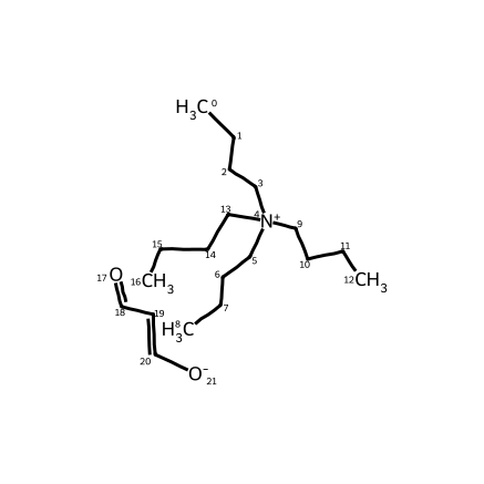 CCCC[N+](CCCC)(CCCC)CCCC.O=C/C=C/[O-]